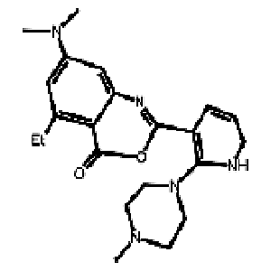 CCc1cc(N(C)C)cc2nc(C3=C(N4CCN(C)CC4)NCC=C3)oc(=O)c12